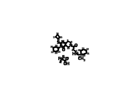 C[C@H](NCCC(=O)N1CCc2nc(SC3CCC3)n(-c3ccccc3)c(=O)c2C1)c1ccccc1.O=C(O)C(F)(F)F